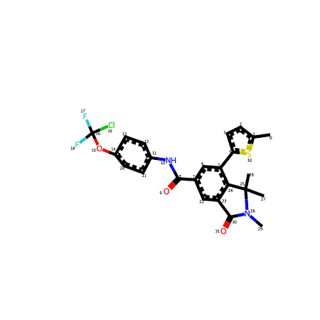 Cc1ccc(-c2cc(C(=O)Nc3ccc(OC(F)(F)Cl)cc3)cc3c2C(C)(C)N(C)C3=O)s1